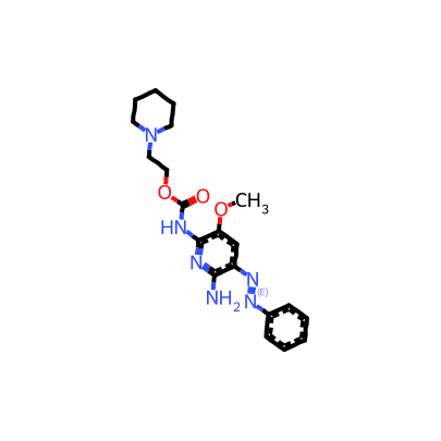 COc1cc(/N=N/c2ccccc2)c(N)nc1NC(=O)OCCN1CCCCC1